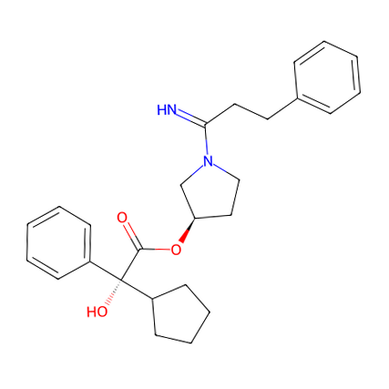 N=C(CCc1ccccc1)N1CC[C@@H](OC(=O)[C@](O)(c2ccccc2)C2CCCC2)C1